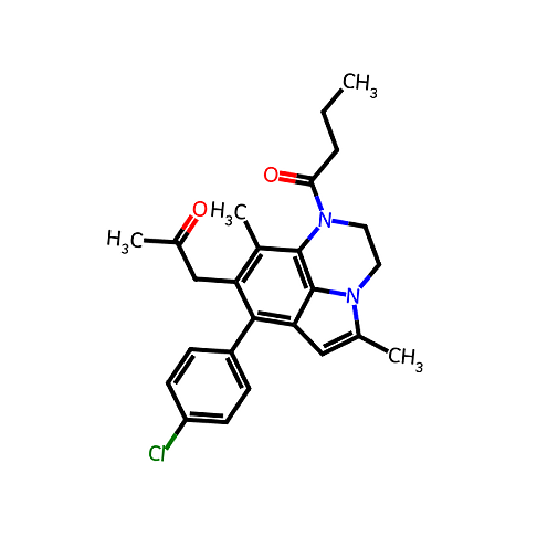 CCCC(=O)N1CCn2c(C)cc3c(-c4ccc(Cl)cc4)c(CC(C)=O)c(C)c1c32